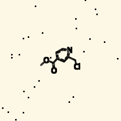 COC(=O)c1ccnc(CCl)c1